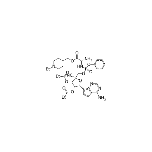 CCC(=O)O[C@H]1[C@H](c2ccc3c(N)ncnn23)O[C@](C#N)(COP(=O)(N[C@@H](C)C(=O)OCC2CCN(CC)CC2)Oc2ccccc2)[C@H]1OC(=O)CC